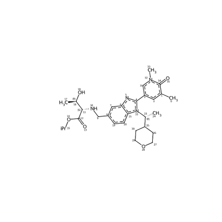 Cc1cc(-c2nc3cc(CN[C@H](C(=O)OC(C)C)[C@@H](C)O)ccc3n2[C@H](C)C2CCOCC2)cn(C)c1=O